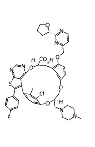 Cc1c2ccc(c1Cl)O[C@H](CN1CCN(C)CC1)COc1ccc(OCc3ccnc([C@@H]4CCCO4)n3)c(c1)C[C@H](C(=O)O)Oc1ncnc3sc(-c4ccc(F)cc4)c-2c13